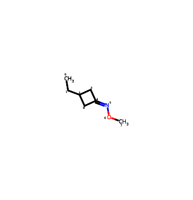 CCC1CC(=NOC)C1